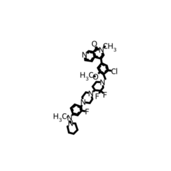 COc1cc(-c2cn(C)c(=O)c3cnccc23)cc(Cl)c1CN1CCC(N2CCN(c3ccc(N(C)N4CCCCC4)cc3F)CC2)C(F)(F)C1